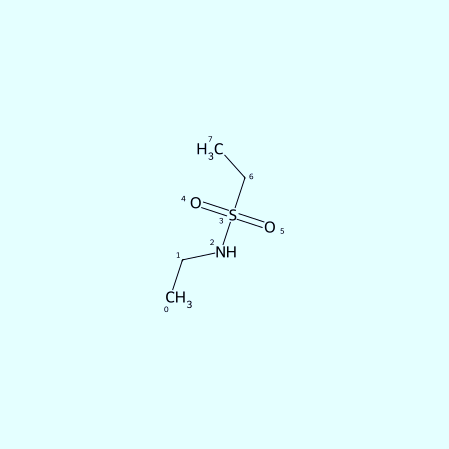 CCNS(=O)(=O)CC